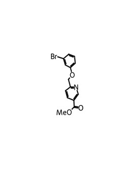 COC(=O)c1ccc(COc2cccc(Br)c2)nc1